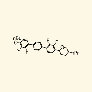 CCCCOc1ccc(-c2ccc(-c3ccc(C4CCC(CCC)CO4)c(F)c3F)cc2)c(F)c1F